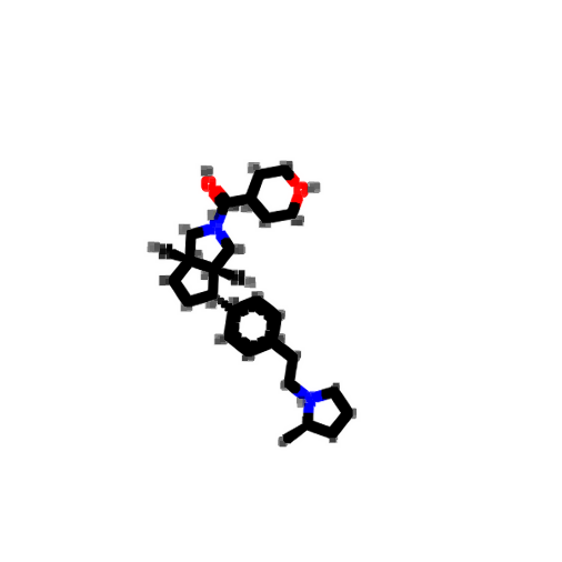 C[C@@H]1CCCN1CCc1ccc([C@@H]2CC[C@@H]3CN(C(=O)C4CCOCC4)C[C@@H]32)cc1